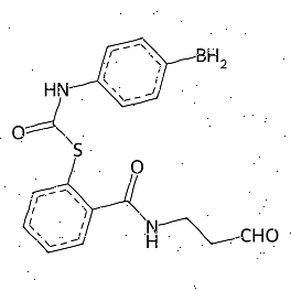 Bc1ccc(NC(=O)Sc2ccccc2C(=O)NCCC=O)cc1